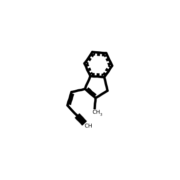 C#C/C=C\C1=C(C)Cc2ccccc21